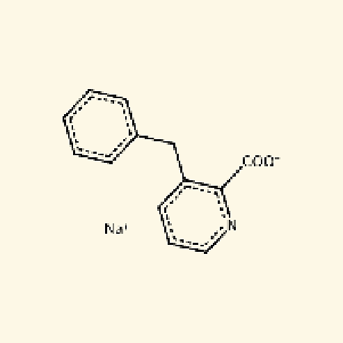 O=C([O-])c1ncccc1Cc1ccccc1.[Na+]